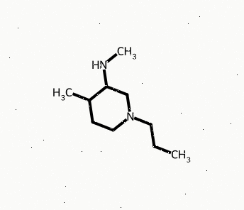 CCCN1CCC(C)C(NC)C1